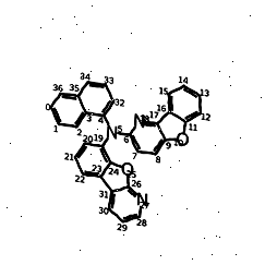 c1ccc2c(N(c3ccc4oc5ccccc5c4n3)c3cccc4c3oc3ncccc34)cccc2c1